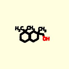 CC1(CO)CCC2=C(C1)C(C)(C)CCC2